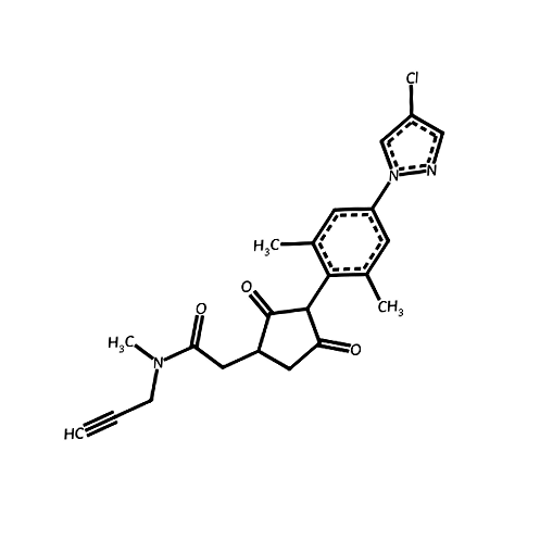 C#CCN(C)C(=O)CC1CC(=O)C(c2c(C)cc(-n3cc(Cl)cn3)cc2C)C1=O